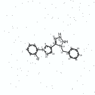 Fc1ccccc1-n1cc(C2=NNNN2Cc2ccccc2)cn1